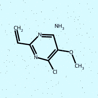 C=Cc1ncc(OC)c(Cl)n1.N